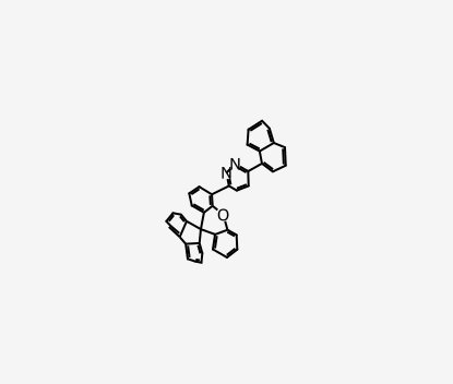 c1ccc2c(c1)Oc1c(-c3ccc(-c4cccc5ccccc45)nn3)cccc1C21c2ccccc2-c2ccccc21